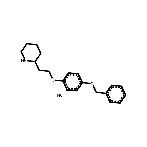 Cl.c1ccc(COc2ccc(OCCC3CCCCN3)cc2)cc1